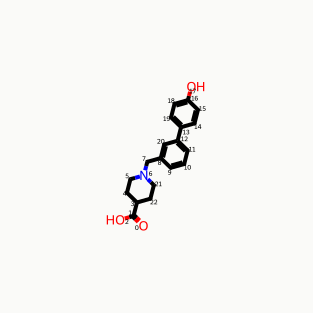 O=C(O)C1CCN(Cc2cccc(-c3ccc(O)cc3)c2)CC1